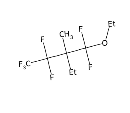 CCOC(F)(F)C(C)(CC)C(F)(F)C(F)(F)F